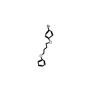 Brc1ccc(OCCCCOc2ccccc2)cc1